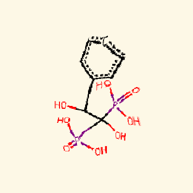 O=P(O)(O)C(O)(C(O)c1ccccc1)P(=O)(O)O